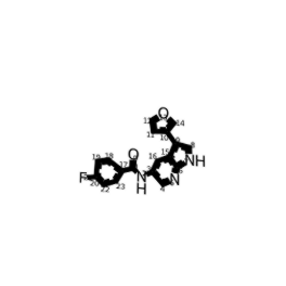 O=C(Nc1cnc2[nH]cc(-c3ccoc3)c2c1)c1ccc(F)cc1